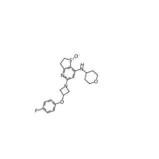 [O-][S+]1CCc2nc(N3CC(Oc4ccc(F)cc4)C3)cc(NC3CCOCC3)c21